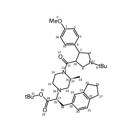 COc1ccc(C2CN(C(C)(C)C)CC2C(=O)N2CCN([C@@H](Cc3ccc4c(c3)CCC4)C(=O)OC(C)(C)C)C[C@@H]2C)cc1